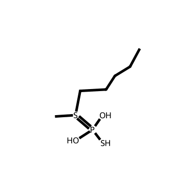 CCCCCS(C)=P(O)(O)S